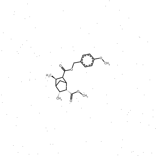 COC(=O)[C@H]1C2CC([C@@H](C)C2C(=O)OCc2ccc(OC)cc2)[C@H]1C